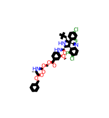 COc1cc(C(=O)OCOC(=O)N[C@@H](C)C(=O)OCc2ccccc2)ccc1NC(=O)[C@@H]1N[C@@H](CC(C)(C)C)[C@](C#N)(c2ccc(Cl)cc2F)[C@H]1c1cccc(Cl)c1F